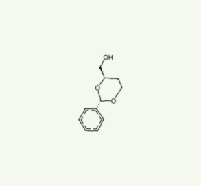 OC[C@H]1CCO[C@H](c2ccccc2)O1